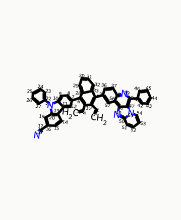 C=Cc1c(C=C)c(-c2ccc3c(c2)c2ccc(C#N)cc2n3-c2ccccc2)c2ccccc2c1-c1ccc2nc(-c3ccccc3)c3c(nc4ccccn43)c2c1